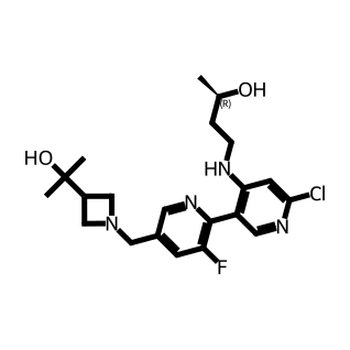 C[C@@H](O)CCNc1cc(Cl)ncc1-c1ncc(CN2CC(C(C)(C)O)C2)cc1F